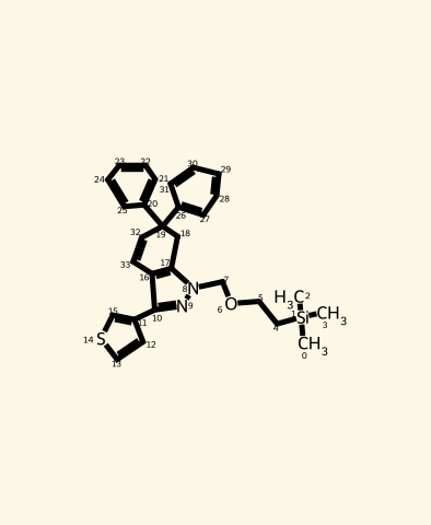 C[Si](C)(C)CCOCn1nc(-c2ccsc2)c2c1CC(c1ccccc1)(c1ccccc1)C=C2